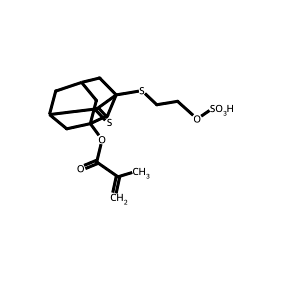 C=C(C)C(=O)OC12CC3CC(C1)C(=S)C(SCCOS(=O)(=O)O)(C3)C2